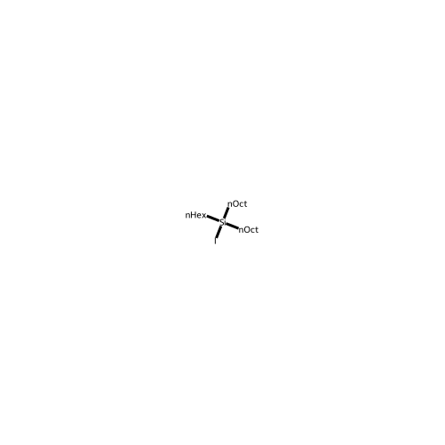 CCCCCCCC[Si](I)(CCCCCC)CCCCCCCC